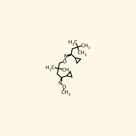 CO/N=C(/CC(C)(C)CO/N=C(/CC(C)(C)C)C1CC1)C1CC1